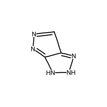 c1nnc2[nH][nH]nc1-2